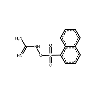 N=C(N)NOS(=O)(=O)c1cccc2ccccc12